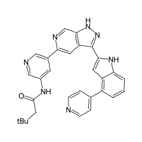 CC(C)(C)CC(=O)Nc1cncc(-c2cc3c(-c4cc5c(-c6ccncc6)cccc5[nH]4)n[nH]c3cn2)c1